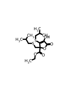 CCOC(=O)C1(CSCC(C)C)OC(=O)C(O)=C1SCC(C)C